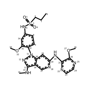 CCCS(=O)(=O)Nc1ccc(-n2nc(NC)c3cnc(Nc4nccnc4OC)cc32)c(OC)c1